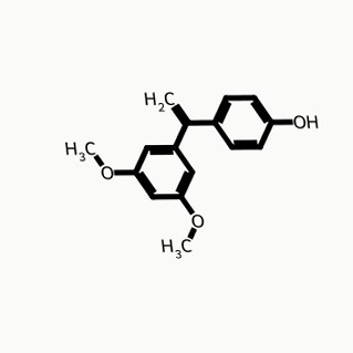 C=C(c1ccc(O)cc1)c1cc(OC)cc(OC)c1